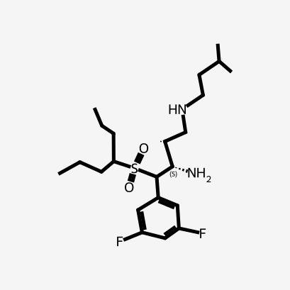 CCCC(CCC)S(=O)(=O)C(c1cc(F)cc(F)c1)[C@@H](N)[CH]CNCCC(C)C